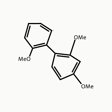 COc1ccc(-c2[c]cccc2OC)c(OC)c1